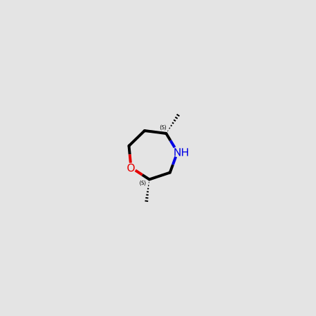 C[C@H]1CCO[C@@H](C)CN1